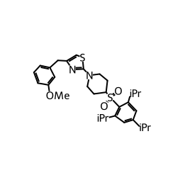 COc1cccc(Cc2csc(N3CCC(S(=O)(=O)c4c(C(C)C)cc(C(C)C)cc4C(C)C)CC3)n2)c1